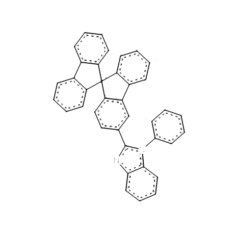 c1ccc(-n2c(-c3ccc4c(c3)-c3ccccc3C43c4ccccc4-c4ccccc43)nc3ccccc32)cc1